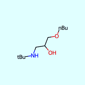 CCCCOCC(O)CNC(C)(C)C